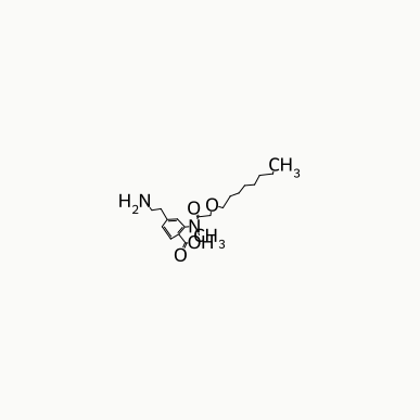 CCCCCCCCOCC(=O)N(C)c1cc(CCN)ccc1C(=O)O